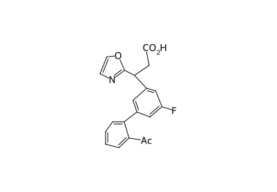 CC(=O)c1ccccc1-c1cc(F)cc(C(CC(=O)O)c2ncco2)c1